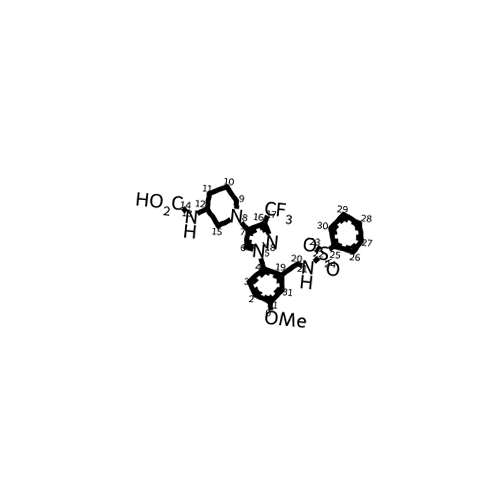 COc1ccc(-n2cc(N3CCCC(NC(=O)O)C3)c(C(F)(F)F)n2)c(CNS(=O)(=O)c2ccccc2)c1